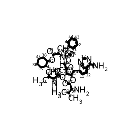 CC(C)[C@@H](N)C(=O)O[C@H]1[C@H](c2ccc3c(N)ncnn23)O[C@](C)(COP(=O)(N[C@@H](C)C(=O)OC2CCCCC2)Oc2ccccc2)[C@H]1OC(=O)[C@H](N)C(C)C